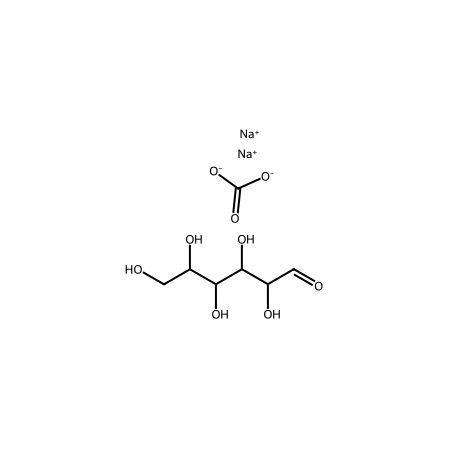 O=C([O-])[O-].O=CC(O)C(O)C(O)C(O)CO.[Na+].[Na+]